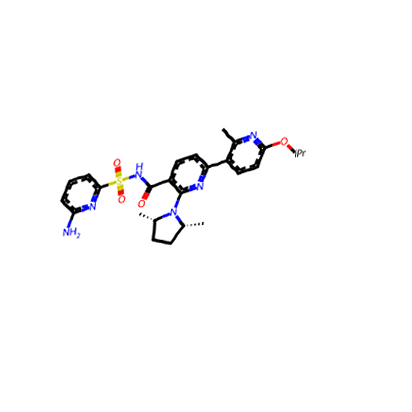 Cc1nc(OC(C)C)ccc1-c1ccc(C(=O)NS(=O)(=O)c2cccc(N)n2)c(N2[C@H](C)CC[C@@H]2C)n1